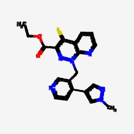 CCOC(=O)c1nn(Cc2cnccc2-c2cnn(C)c2)c2ncccc2c1=S